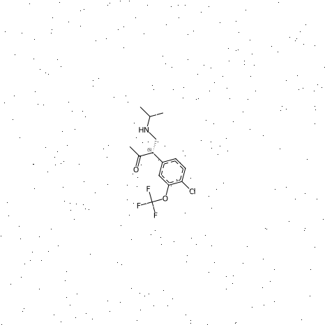 CC(=O)[C@H](CNC(C)C)c1ccc(Cl)c(OC(F)(F)F)c1